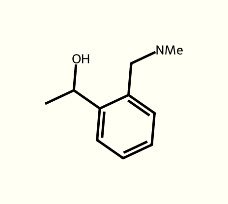 CNCc1ccccc1C(C)O